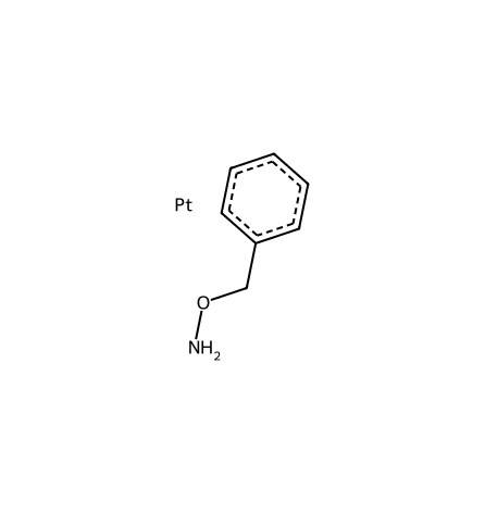 NOCc1ccccc1.[Pt]